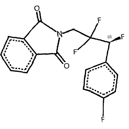 O=C1c2ccccc2C(=O)N1CC(F)(F)[C@@H](F)c1ccc(F)cc1